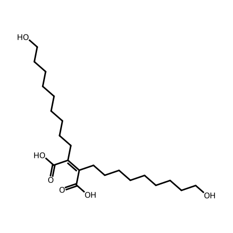 O=C(O)/C(CCCCCCCCCO)=C(/CCCCCCCCCO)C(=O)O